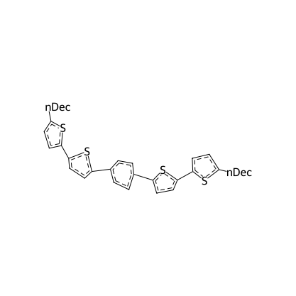 CCCCCCCCCCc1ccc(-c2ccc(-c3ccc(-c4ccc(-c5ccc(CCCCCCCCCC)s5)s4)cc3)s2)s1